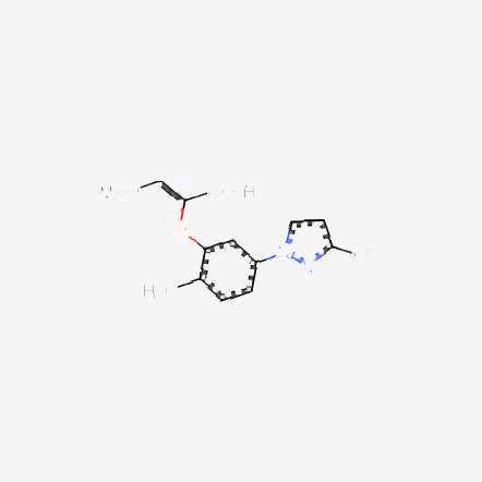 CO/C=C(\Oc1cc(-n2ccc(C(F)(F)F)n2)ccc1C)C(=O)O